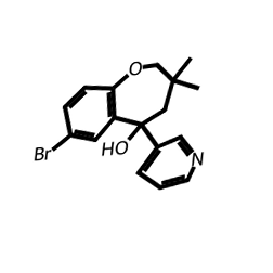 CC1(C)COc2ccc(Br)cc2C(O)(c2cccnc2)C1